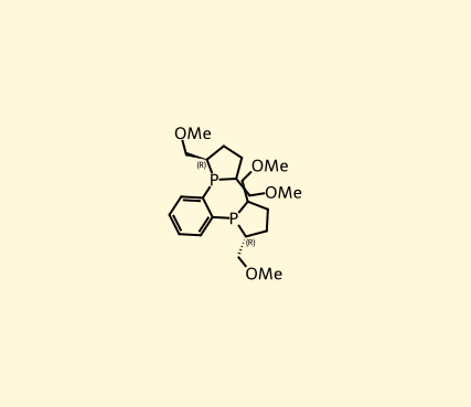 COCC1CC[C@H](COC)P1c1ccccc1P1C(COC)CC[C@@H]1COC